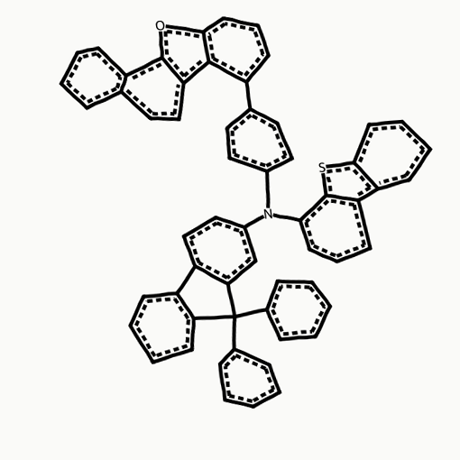 c1ccc(C2(c3ccccc3)c3ccccc3-c3ccc(N(c4ccc(-c5cccc6oc7c8ccccc8ccc7c56)cc4)c4cccc5c4sc4ccccc45)cc32)cc1